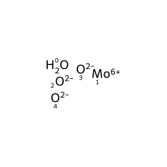 O.[Mo+6].[O-2].[O-2].[O-2]